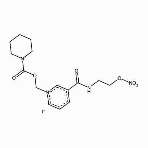 O=C(NCCO[N+](=O)[O-])c1ccc[n+](COC(=O)N2CCCCC2)c1.[I-]